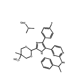 CC(Nc1nccc(-c2[nH]c(C3OCC(C)(C(=O)O)CO3)nc2-c2ccc(F)cc2)n1)c1ccccc1.CN(C)C=O